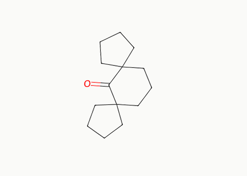 O=C1C2(CCCC2)CCCC12CCCC2